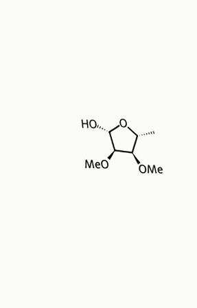 CO[C@@H]1[C@H](OC)[C@@H](C)O[C@H]1O